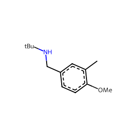 COc1ccc(CNC(C)(C)C)cc1C